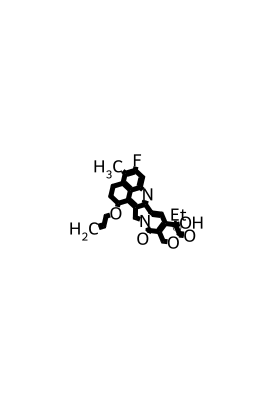 C=CCOC1CCc2c(C)c(F)cc3nc4c(c1c23)Cn1c-4cc2c(c1=O)COC(=O)[C@]2(O)CC